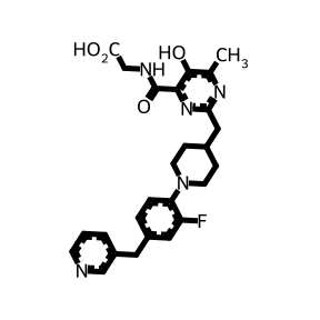 Cc1nc(CC2CCN(c3ccc(Cc4cccnc4)cc3F)CC2)nc(C(=O)NCC(=O)O)c1O